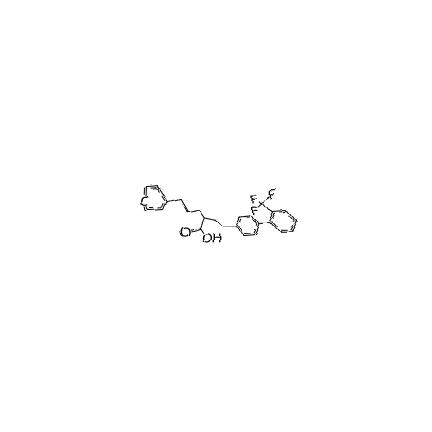 O=C(O)C(CCCc1ccccc1)CCc1ccc(-c2ccccc2C(F)(F)F)cc1